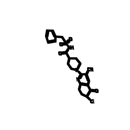 N#Cc1cc2c(nc1N1CCC(C(=O)NS(=O)(=O)Cc3ccccc3)CC1)CCC(Cl)C2=O